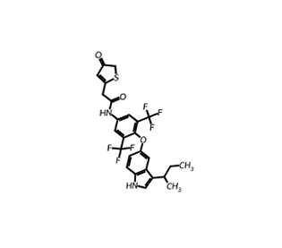 CCC(C)c1c[nH]c2ccc(Oc3c(C(F)(F)F)cc(NC(=O)CC4=CC(=O)CS4)cc3C(F)(F)F)cc12